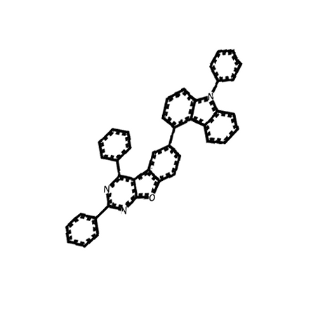 c1ccc(-c2nc(-c3ccccc3)c3c(n2)oc2ccc(-c4cccc5c4c4ccccc4n5-c4ccccc4)cc23)cc1